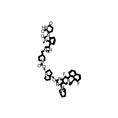 C#Cc1c(F)ccc2cccc(-c3ncc4c(N5CC6CCC(C5)N6)nc(OC[C@@]56CCCN5[C@H](COC(=O)N5CCC(Cn7cc(-c8cccc9c8n(C)c(=O)n9C8CCC(=O)NC8=O)nn7)CC5)CC6)nc4c3F)c12